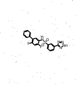 O=S(=O)(Nc1cc(-c2ccccc2)c(F)cc1F)c1cccc(-c2nn[nH]n2)c1